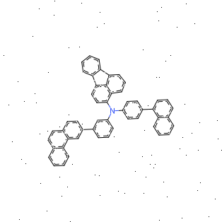 c1cc(-c2ccc3ccc4ccccc4c3c2)cc(N(c2ccc(-c3cccc4ccccc34)cc2)c2ccc3c4c(cccc24)-c2ccccc2-3)c1